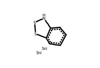 [Sn].[Sn].c1ccc2c(c1)NSS2